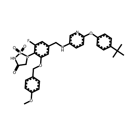 COc1ccc(COc2cc(CNc3ccc(Oc4ccc(C(C)(C)C)cc4)nc3)cc(F)c2N2CC(=O)NS2(=O)=O)cc1